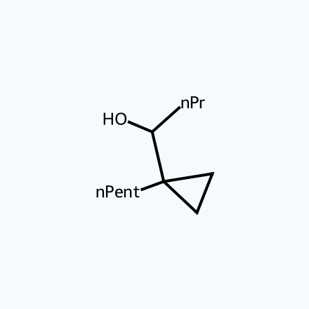 CCCCCC1(C(O)CCC)CC1